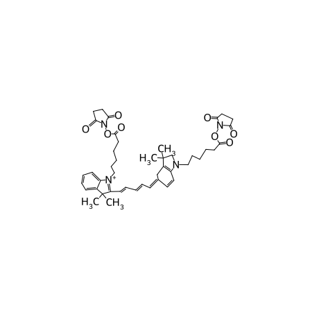 CC1(C)CN(CCCCCC(=O)ON2C(=O)CCC2=O)C2=C1C\C(=C/C=C/C=C/C1=[N+](CCCCCC(=O)ON3C(=O)CCC3=O)c3ccccc3C1(C)C)C=C2